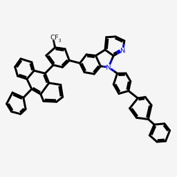 FC(F)(F)c1cc(-c2ccc3c(c2)c2cccnc2n3-c2ccc(-c3ccc(-c4ccccc4)cc3)cc2)cc(-c2c3ccccc3c(-c3ccccc3)c3ccccc23)c1